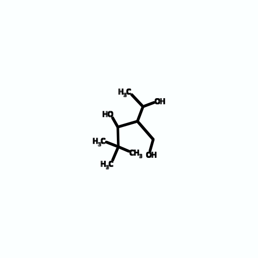 CC(O)C(CO)C(O)C(C)(C)C